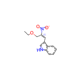 CCOC/C(=C\c1c[nH]c2ccccc12)[N+](=O)[O-]